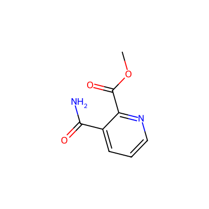 COC(=O)c1ncccc1C(N)=O